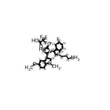 COc1ccc2c(c1)c(-c1n[nH]c(=O)n1-c1cn(CCCN)c3ccc(F)cc13)cn2C.O=C(O)C(F)(F)F